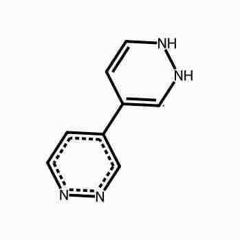 [C]1=C(c2ccnnc2)C=CNN1